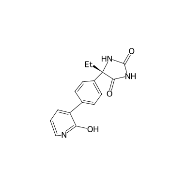 CC[C@@]1(c2ccc(-c3cccnc3O)cc2)NC(=O)NC1=O